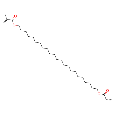 C=CC(=O)OCCCCCCCCCCCCCCCCCCCCCCCOC(=O)C(=C)C